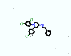 Clc1ccc(C2CC(NCCc3ccccc3)CCN2c2ccc(Cl)cc2Cl)cc1